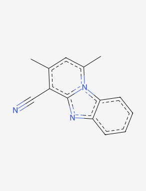 Cc1cc(C)n2c(nc3ccccc32)c1C#N